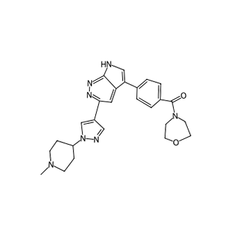 CN1CCC(n2cc(-c3cc4c(-c5ccc(C(=O)N6CCOCC6)cc5)c[nH]c4nn3)cn2)CC1